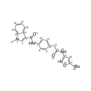 Cn1cc(C(=O)Nc2ccc(CC(=O)Nc3cc(C(C)(C)C)on3)cc2)c2ccccc21